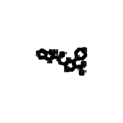 O=[N+]([O-])c1cnc(C[S+]([O-])c2nc3cscc3[nH]2)nc1N1CCOCC1